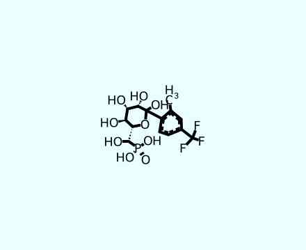 Cc1cc(C(F)(F)F)ccc1C1(O)O[C@H](C(O)P(=O)(O)O)[C@@H](O)[C@H](O)[C@@H]1O